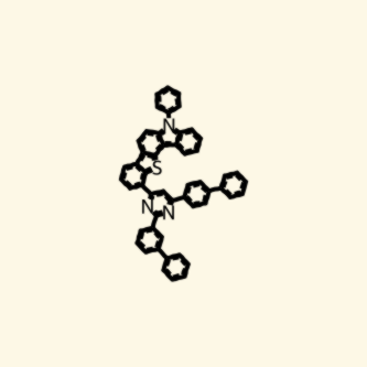 c1ccc(-c2ccc(-c3cc(-c4cccc5c4sc4c5ccc5c4c4ccccc4n5-c4ccccc4)nc(-c4cccc(-c5ccccc5)c4)n3)cc2)cc1